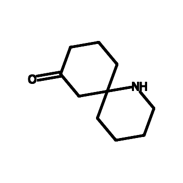 O=C1CCCC2(CCCCN2)C1